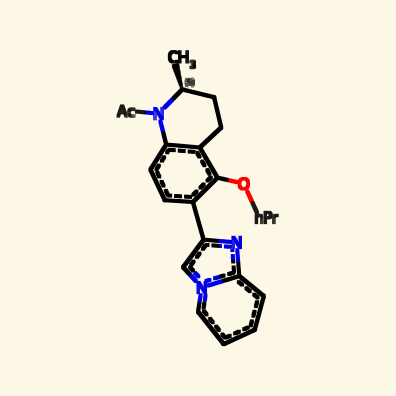 CCCOc1c(-c2cn3ccccc3n2)ccc2c1CC[C@H](C)N2C(C)=O